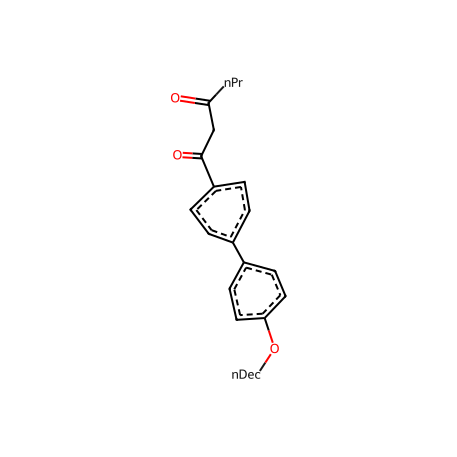 CCCCCCCCCCOc1ccc(-c2ccc(C(=O)CC(=O)CCC)cc2)cc1